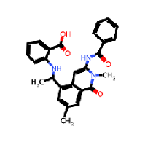 Cc1cc(C(C)Nc2ccccc2C(=O)O)c2cc(NC(=O)c3ccccc3)n(C)c(=O)c2c1